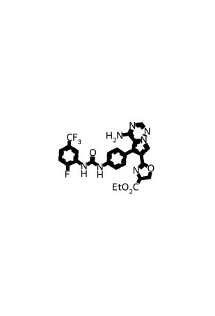 CCOC(=O)C1COC(c2cn3ncnc(N)c3c2-c2ccc(NC(=O)Nc3cc(C(F)(F)F)ccc3F)cc2)=N1